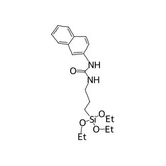 CCO[Si](CCCNC(=O)Nc1ccc2ccccc2c1)(OCC)OCC